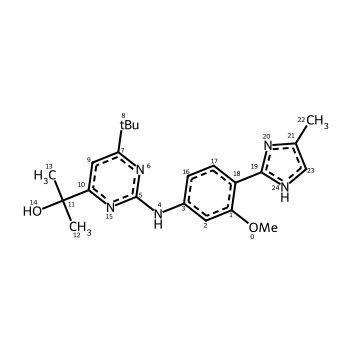 COc1cc(Nc2nc(C(C)(C)C)cc(C(C)(C)O)n2)ccc1-c1nc(C)c[nH]1